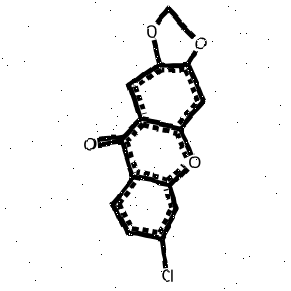 O=c1c2ccc(Cl)cc2oc2cc3c(cc12)OCO3